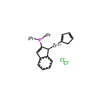 CC(C)P(C1=Cc2ccccc2[CH]1[Zr+2][C]1=CC=CC1)C(C)C.[Cl-].[Cl-]